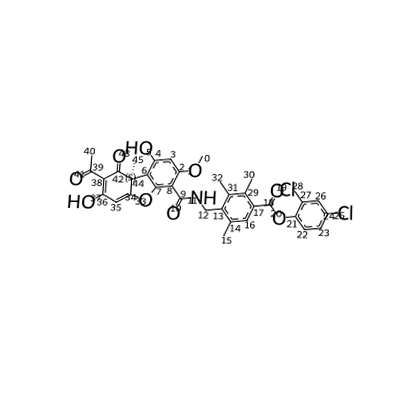 COc1cc(O)c2c(c1C(=O)NCc1c(C)cc(C(=O)Oc3ccc(Cl)cc3Cl)c(C)c1C)OC1=CC(O)=C(C(C)=O)C(=O)[C@]12C